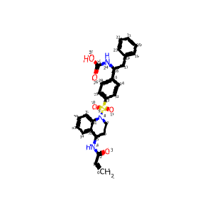 C=CC(=O)NC1CCN(S(=O)(=O)c2ccc(C(Cc3ccccc3)NC(=O)O)cc2)c2ccccc21